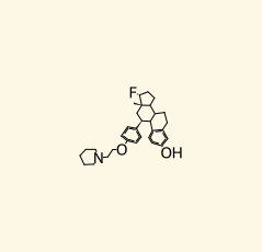 C[C@]12C[C@H](c3ccc(OCCN4CCCCC4)cc3)C3c4ccc(O)cc4CCC3C1CC[C@H]2F